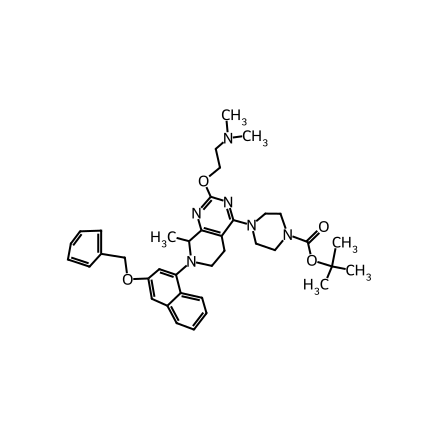 CC1c2nc(OCCN(C)C)nc(N3CCN(C(=O)OC(C)(C)C)CC3)c2CCN1c1cc(OCc2ccccc2)cc2ccccc12